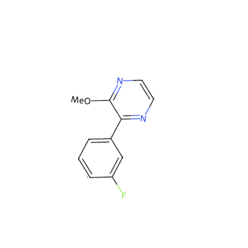 COc1nccnc1-c1cc[c]c(F)c1